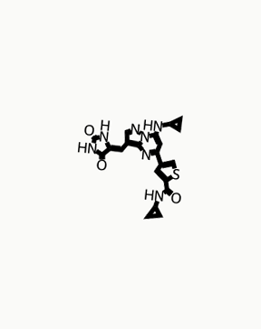 O=C1NC(=O)/C(=C/c2cnn3c(NC4CC4)cc(-c4csc(C(=O)NC5CC5)c4)nc23)N1